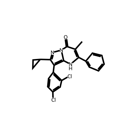 Cc1c(-c2ccccc2)[nH]c2c(-c3ccc(Cl)cc3Cl)c(C3CC3)nn2c1=O